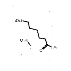 CCCCCCCCCCCCCC(=O)CCC.CNC